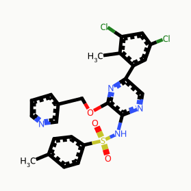 Cc1ccc(S(=O)(=O)Nc2ncc(-c3cc(Cl)cc(Cl)c3C)nc2OCc2cccnc2)cc1